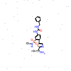 CCCC[C@H](N)c1ncc(-c2ccc(NC(=O)NCc3ccccc3)cc2S(=O)(=O)NC(C)(C)C)s1